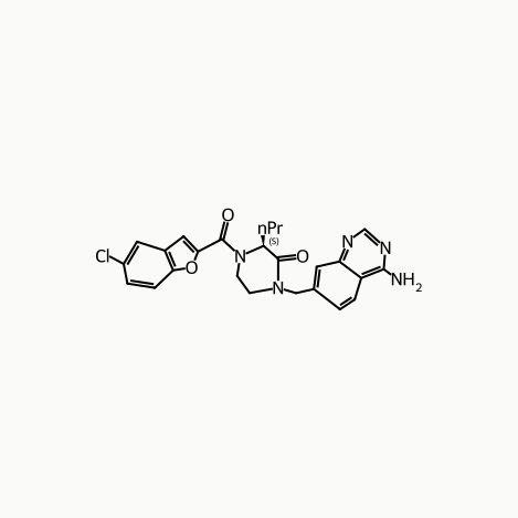 CCC[C@H]1C(=O)N(Cc2ccc3c(N)ncnc3c2)CCN1C(=O)c1cc2cc(Cl)ccc2o1